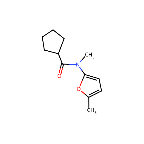 Cc1ccc(N(C)C(=O)C2CCCC2)o1